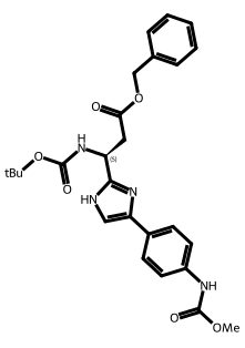 COC(=O)Nc1ccc(-c2c[nH]c([C@H](CC(=O)OCc3ccccc3)NC(=O)OC(C)(C)C)n2)cc1